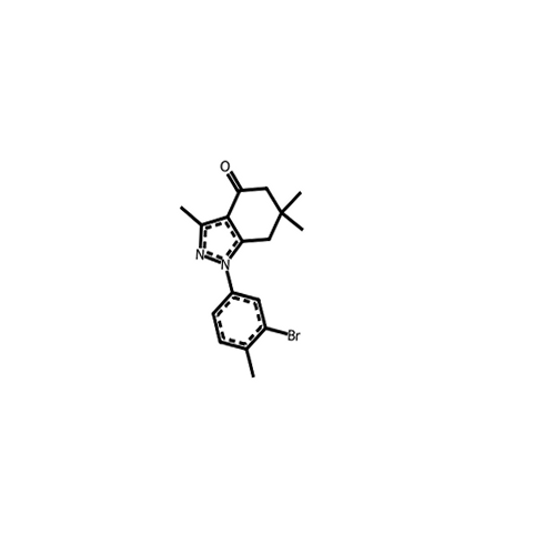 Cc1ccc(-n2nc(C)c3c2CC(C)(C)CC3=O)cc1Br